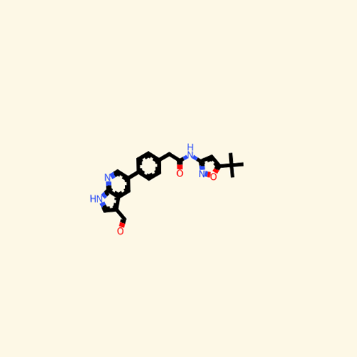 CC(C)(C)c1cc(NC(=O)Cc2ccc(-c3cnc4[nH]cc(C=O)c4c3)cc2)no1